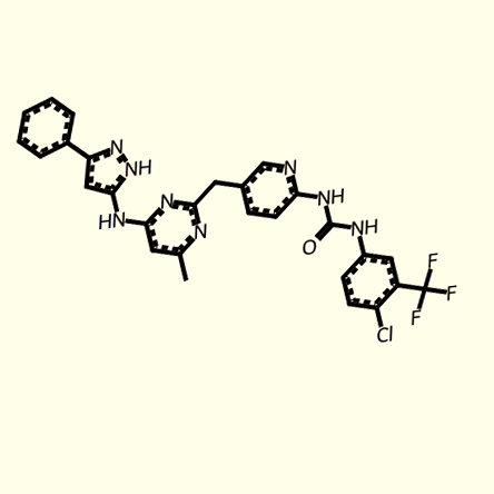 Cc1cc(Nc2cc(-c3ccccc3)n[nH]2)nc(Cc2ccc(NC(=O)Nc3ccc(Cl)c(C(F)(F)F)c3)nc2)n1